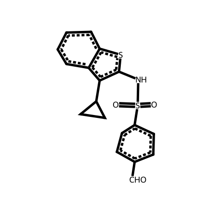 O=Cc1ccc(S(=O)(=O)Nc2sc3ccccc3c2C2CC2)cc1